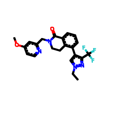 CCn1cc(-c2cccc3c2CCN(Cc2cc(OC)ccn2)C3=O)c(C(F)(F)F)n1